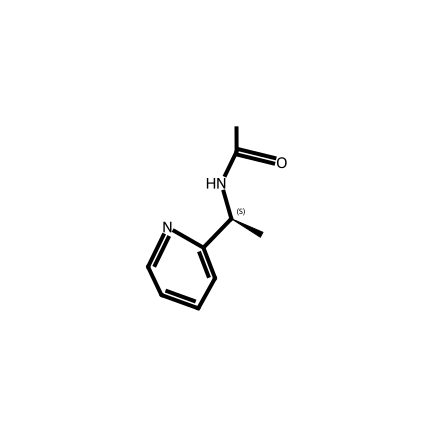 CC(=O)N[C@@H](C)c1ccccn1